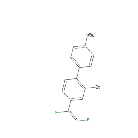 CCCCc1ccc(-c2ccc(/C(F)=C\F)cc2CC)cc1